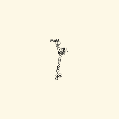 COc1cccc(Oc2ccc(-c3nn(C4CC5CN(C6CN(C7CN(c8ccc(C9CCC(=O)NC9=O)cc8)C7)C6)CC5C4)c4ncnc(N)c34)cc2)c1F